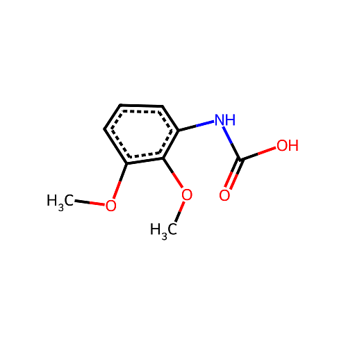 COc1cccc(NC(=O)O)c1OC